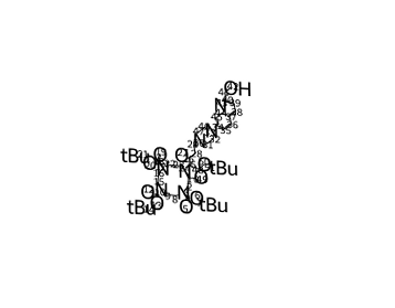 CC1CN(C(=O)OC(C)(C)C)CCN(C(=O)OC(C)(C)C)CCN(C(=O)OC(C)(C)C)CCN1C(C(=O)CCN1CCN(c2ccc3ccc(CO)nc3c2)CC1)C(=O)OC(C)(C)C